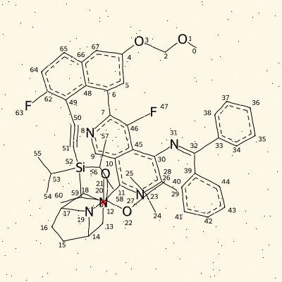 COCOc1cc(-c2ncc3c(N4CC5CCC(C4)N5C(=O)OC(C)(C)C)nc(C)c(N=C(c4ccccc4)c4ccccc4)c3c2F)c2c(C#C[Si](C(C)C)(C(C)C)C(C)C)c(F)ccc2c1